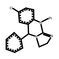 CC(C)N1C2=NCCN2C(c2ccccc2)c2cc(Cl)ccc21